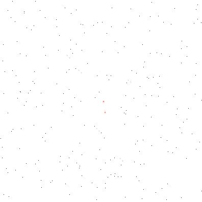 Cc1ccc2c(c1)c1ccccc1n2-c1ccc(-c2cc(-c3ccccc3)nc(-c3ccccc3)n2)cc1-c1ccc(-c2ccc3c4c2N(c2ccccc2)c2ccccc2B4c2ccccc2N3c2ccccc2)cc1